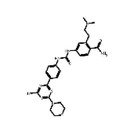 CC(C)c1nc(-c2ccc(NC(=O)Nc3ccc(C(N)=O)c(CCN(C)C)c3)cc2)nc(N2CCOCC2)n1